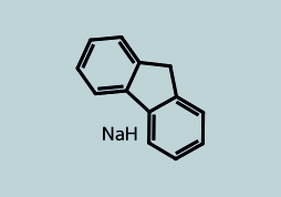 [NaH].c1ccc2c(c1)Cc1ccccc1-2